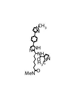 CNC(=O)CCCCC[C@H](NC(=O)c1ccnn1C)c1ncc(-c2ccc(-c3ccn(C)n3)cc2)[nH]1